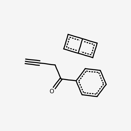 C#CCC(=O)c1ccccc1.c1cc2ccc1-2